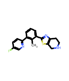 Cc1c(-c2ccc(F)cn2)cccc1-c1nc2c(s1)CNCC2